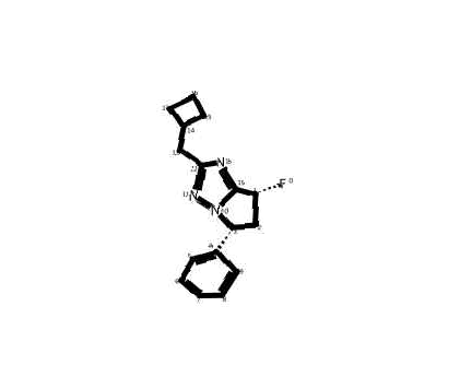 F[C@@H]1C[C@H](c2ccccc2)n2nc(CC3CCC3)nc21